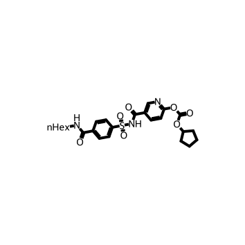 CCCCCCNC(=O)c1ccc(S(=O)(=O)NC(=O)c2ccc(OC(=O)OC3CCCC3)nc2)cc1